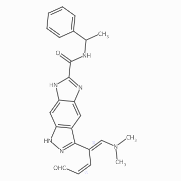 CC(NC(=O)c1nc2cc3c(C(/C=C\C=O)=C/N(C)C)n[nH]c3cc2[nH]1)c1ccccc1